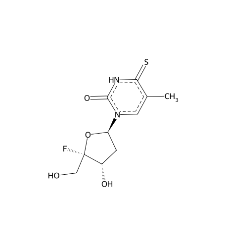 Cc1cn([C@H]2C[C@H](O)[C@@](F)(CO)O2)c(=O)[nH]c1=S